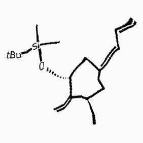 C=C/C=C1/C[C@@H](C)C(=C)[C@H](O[Si](C)(C)C(C)(C)C)C1